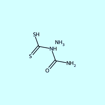 N.NC(=O)NC(=S)S